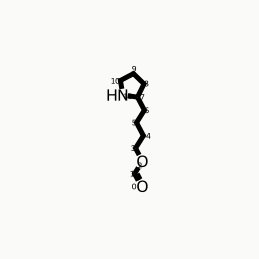 O=COCCCCC1CCCN1